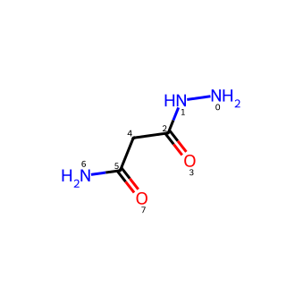 NNC(=O)CC(N)=O